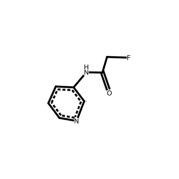 O=C(CF)Nc1[c]nccc1